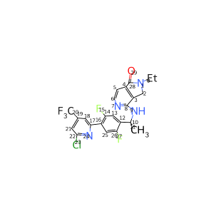 CCN1Cc2c(ccnc2N[C@@H](C)c2cc(F)c(-c3cc(C(F)(F)F)cc(Cl)n3)cc2F)C1=O